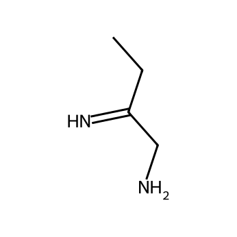 CCC(=N)CN